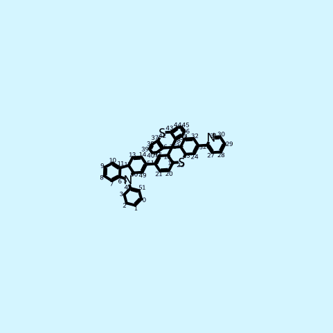 C1=CCCC(N2c3ccccc3C3C=CC(C4=CC5C(C=C4)SC4C=C(c6ccccn6)C=CC4C54C5=C(C=CCC5)Sc5ccccc54)=CC32)=C1